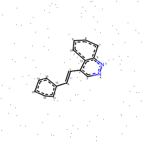 C(=C\c1cnnc2ccccc12)/c1ccccc1